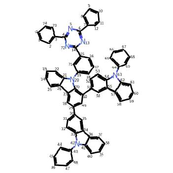 c1ccc(-c2nc(-c3ccccc3)nc(-c3cccc(-n4c5ccccc5c5cc(-c6ccc7c(c6)c6ccccc6n7-c6ccccc6)cc(-c6ccc7c(c6)c6ccccc6n7-c6ccccc6)c54)c3)n2)cc1